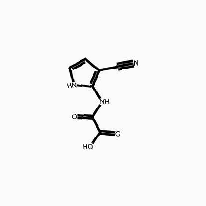 N#Cc1cc[nH]c1NC(=O)C(=O)O